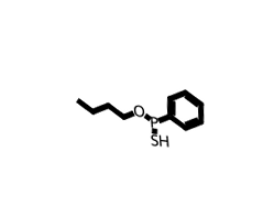 CCCCOP(S)c1ccccc1